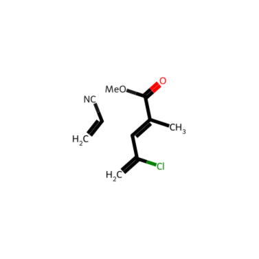 C=C(Cl)C=C(C)C(=O)OC.C=CC#N